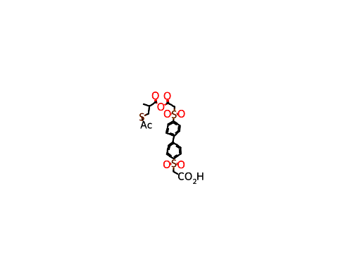 CC(=O)SCC(C)C(=O)OC(=O)CS(=O)(=O)c1ccc(-c2ccc(S(=O)(=O)CC(=O)O)cc2)cc1